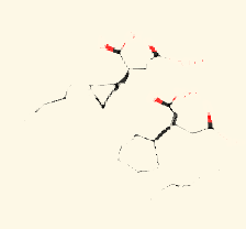 CCCC.CCCC.O=C(O)CC(C(=O)O)=C1CC1.O=C(O)CC(C(=O)O)=C1CCCCC1